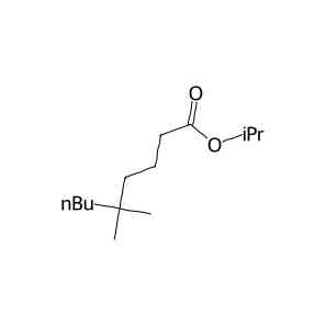 CCCCC(C)(C)CCCC(=O)OC(C)C